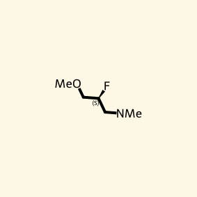 CNC[C@H](F)COC